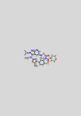 CN(c1nc(-c2ccc(F)cc2)c(C#N)s1)c1c2cc(N3CCN(C(=O)C4(O)CCOCC4)CC3)cnc2nn1C1CC1